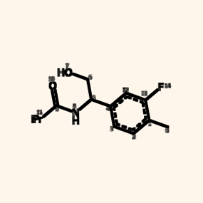 Cc1ccc(C(CO)NC(=O)C(C)C)cc1F